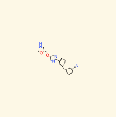 N#Cc1cccc(Cc2cccc(-c3ncc(OCC4CNCCO4)cn3)c2)c1